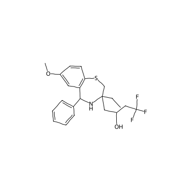 CCC1(CC(O)CC(F)(F)F)CSc2ccc(OC)cc2C(c2ccccc2)N1